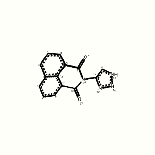 O=C1c2cccc3cccc(c23)C(=O)N1c1c[nH]nn1